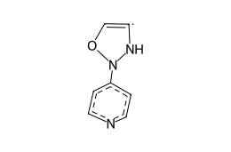 [C]1=CON(c2ccncc2)N1